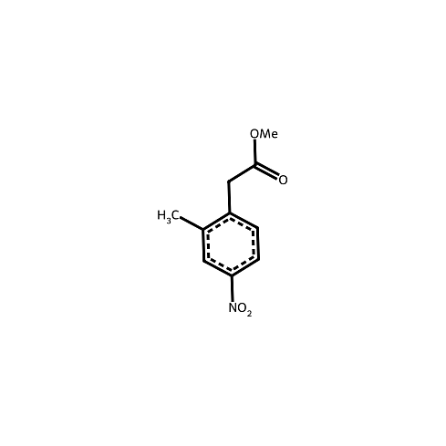 COC(=O)Cc1ccc([N+](=O)[O-])cc1C